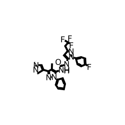 Cc1c(-c2cnn(C)c2)nn(-c2ccccc2)c1NC(=O)Nc1cc(CC(F)(F)F)nn1-c1ccc(F)cc1